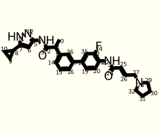 CC(C(=O)Nc1cc(C2CC2)[nH]n1)c1cccc(-c2ccc(NC(=O)C=CCN3CCCC3)c(F)c2)c1